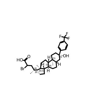 C[C@H](CC(Br)C(=O)O)[C@H]1CC[C@H]2[C@@H]3CC[C@@H]4C[C@](O)(c5ccc(C(F)(F)F)cc5)CC[C@]4(C)[C@H]3CC[C@]12C